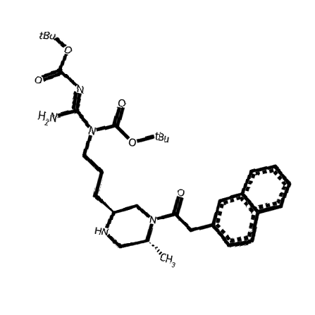 C[C@@H]1CN[C@@H](CCCN(C(=O)OC(C)(C)C)/C(N)=N/C(=O)OC(C)(C)C)CN1C(=O)Cc1ccc2ccccc2c1